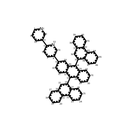 c1cncc(-c2ccc(-c3ccc4c(-c5cc6ccccc6c6ccccc56)c5ccccc5c(-c5cc6ccccc6c6ccccc56)c4c3)cn2)c1